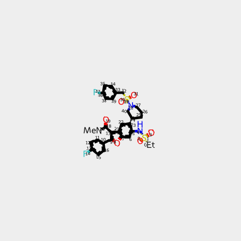 CCS(=O)(=O)Nc1cc2oc(-c3ccc(F)cc3)c(C(=O)NC)c2cc1[C@H]1CCCN(S(=O)(=O)Cc2ccc(F)cc2)C1